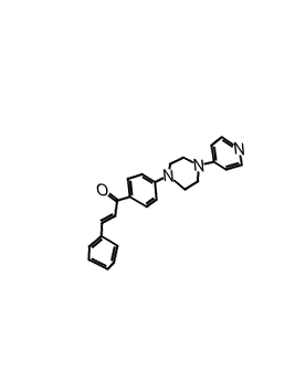 O=C(C=Cc1ccccc1)c1ccc(N2CCN(c3ccncc3)CC2)cc1